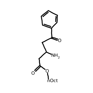 CCCCCCCCOC(=O)CC(N)CC(=O)c1ccccc1